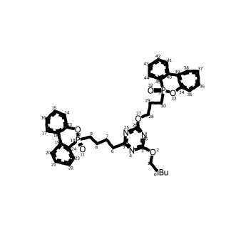 CCC(C)COc1nc(CCCCP2(=O)Oc3ccccc3-c3ccccc32)nc(OCCCP2(=O)Oc3ccccc3-c3ccccc32)n1